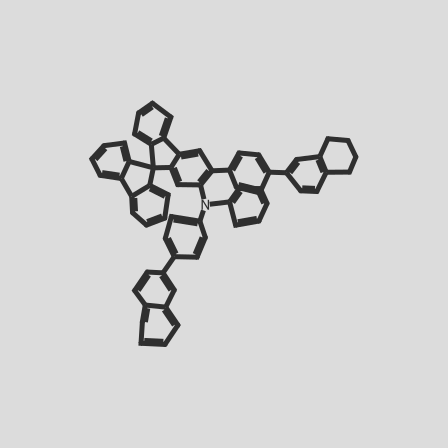 c1ccc(N(c2ccc(-c3ccc4ccccc4c3)cc2)c2cc3c(cc2-c2ccc(-c4ccc5c(c4)CCCC5)cc2)-c2ccccc2C32c3ccccc3-c3ccccc32)cc1